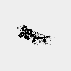 C=CCCc1cc(-c2cc(CCC=C)c(C(C)(CC)C(C)(CC)c3ccc4c(c3)C(c3ccc5c(c3)CC5)(c3ccc5c(c3)CC5)c3cc(C(C)(C)C)ccc3-4)s2)sc1C(C)(C)CC